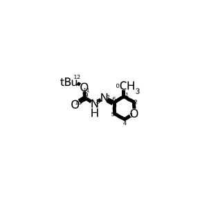 CC1COCCC1=NNC(=O)OC(C)(C)C